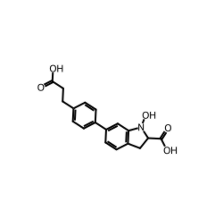 O=C(O)CCc1ccc(-c2ccc3c(c2)N(O)C(C(=O)O)C3)cc1